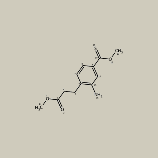 COC(=O)CCc1ccc(C(=S)OC)cc1N